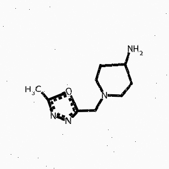 Cc1nnc(CN2CCC(N)CC2)o1